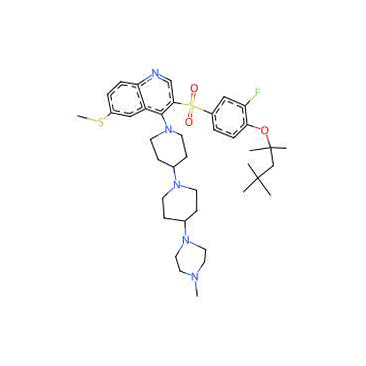 CSc1ccc2ncc(S(=O)(=O)c3ccc(OC(C)(C)CC(C)(C)C)c(F)c3)c(N3CCC(N4CCC(N5CCN(C)CC5)CC4)CC3)c2c1